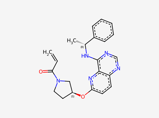 C=CC(=O)N1CC[C@H](Oc2ccc3ncnc(N[C@H](C)c4ccccc4)c3n2)C1